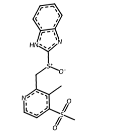 Cc1c(S(C)(=O)=O)ccnc1C[S+]([O-])c1nc2ccccc2[nH]1